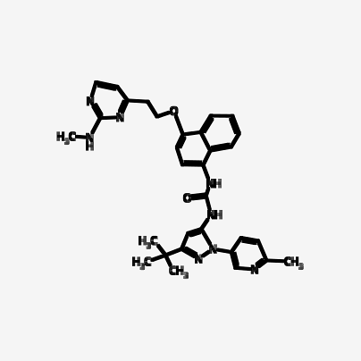 CNc1nccc(CCOc2ccc(NC(=O)Nc3cc(C(C)(C)C)nn3-c3ccc(C)nc3)c3ccccc23)n1